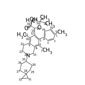 Cc1ccc(-c2c(C)c3c(c(C)c2C(OC(C)(C)C)C(=O)O)CCN(C2CCC4(CC2)CC4)C3)cc1